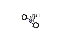 C(=C\c1ccccc1)/c1ccccc1.[NaH].[NaH]